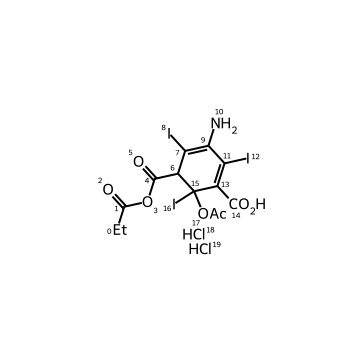 CCC(=O)OC(=O)C1C(I)=C(N)C(I)=C(C(=O)O)C1(I)OC(C)=O.Cl.Cl